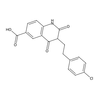 O=C(O)c1ccc2c(c1)C(=O)C(CCc1ccc(Cl)cc1)C(=O)N2